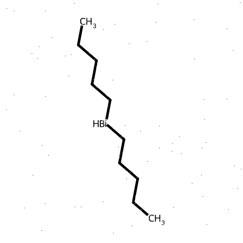 CCCC[CH2][BiH][CH2]CCCC